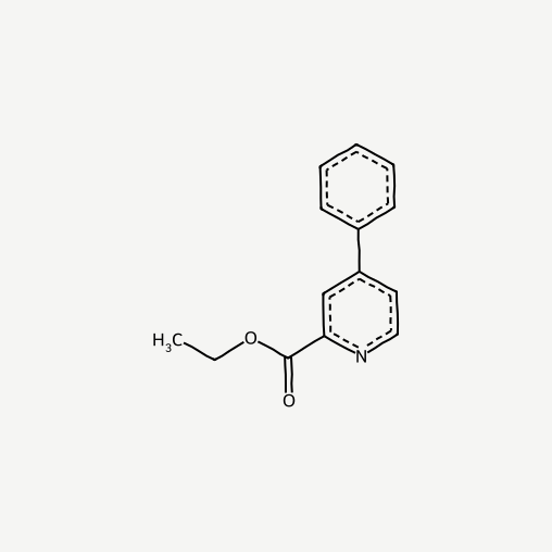 CCOC(=O)c1cc(-c2ccccc2)ccn1